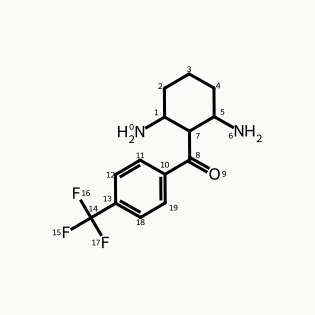 NC1CCCC(N)C1C(=O)c1ccc(C(F)(F)F)cc1